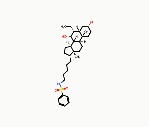 CC[C@H]1[C@@H](O)[C@@H]2[C@H](CC[C@]3(C)[C@@H](CCCCCNS(=O)(=O)c4ccccc4)CC[C@@H]23)[C@@]2(C)CC[C@@H](O)C[C@@H]12